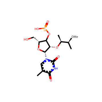 CO[C@@H](C)[C@H](C)O[C@H]1C(O[PH](=O)O)[C@@H](CO)O[C@H]1n1cc(C)c(=O)[nH]c1=O